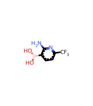 Nc1nc(C(F)(F)F)ccc1B(O)O